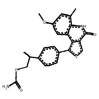 COc1cc(C)c2[nH]c(=O)c3csc(-c4ccc(C(C)COC(N)=O)cc4)c3c2c1